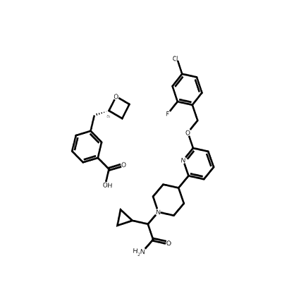 NC(=O)C(C1CC1)N1CCC(c2cccc(OCc3ccc(Cl)cc3F)n2)CC1.O=C(O)c1cccc(C[C@H]2CCO2)c1